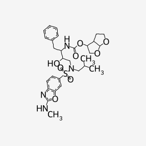 CNc1nc2ccc(S(=O)(=O)N(CC(C)C)CC(O)C(Cc3ccccc3)NC(=O)OC3COC4OCCC34)cc2o1